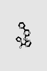 O=C(c1nccnc1Nc1cncc(-c2ccccn2)n1)N1CCCC1